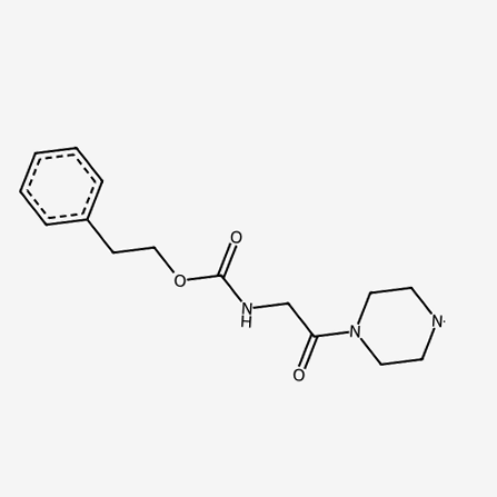 O=C(NCC(=O)N1CC[N]CC1)OCCc1ccccc1